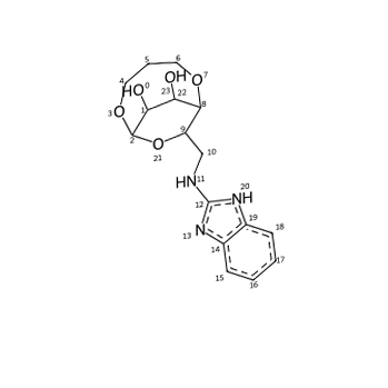 OC1C2OCCCOC(C(CNc3nc4ccccc4[nH]3)O2)C1O